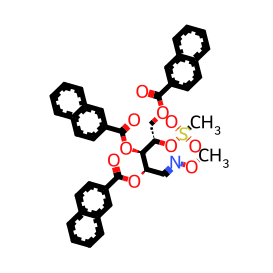 CO/N=C/[C@H](OC(=O)c1ccc2ccccc2c1)[C@@H](OC(=O)c1ccc2ccccc2c1)[C@H](COC(=O)c1ccc2ccccc2c1)OS(C)(=O)=O